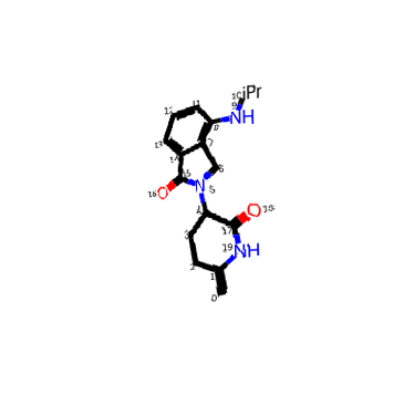 C=C1CCC(N2Cc3c(NC(C)C)cccc3C2=O)C(=O)N1